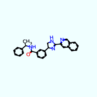 C[C@@H](NC(=O)c1cccc(C2CNC(c3cc4ccccc4cn3)=N2)c1)c1ccccc1